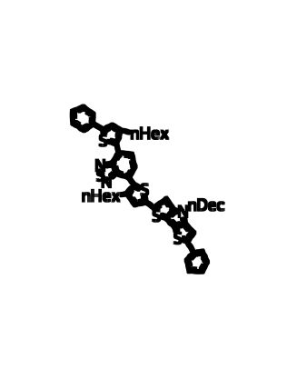 CCCCCCCCCCn1c2cc(-c3ccccc3)sc2c2sc(-c3cc(CCCCCC)c(-c4ccc(-c5sc(-c6ccccc6)cc5CCCCCC)c5nsnc45)s3)cc21